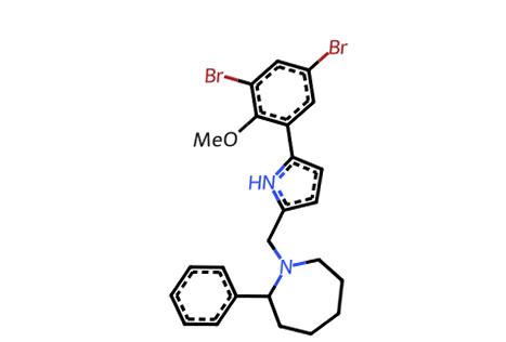 COc1c(Br)cc(Br)cc1-c1ccc(CN2CCCCCC2c2ccccc2)[nH]1